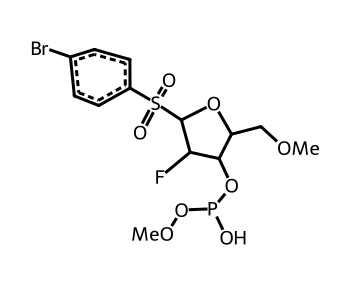 COCC1OC(S(=O)(=O)c2ccc(Br)cc2)C(F)C1OP(O)OOC